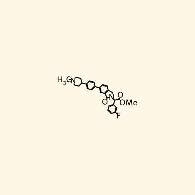 COC(=O)C(c1cccc(F)c1)N1Cc2ccc(-c3ccc(C4CCN(C)CC4)cc3)cc2C1=O